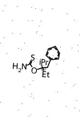 CC[C@@](Cc1ccccc1)(OC(N)=S)C(C)C